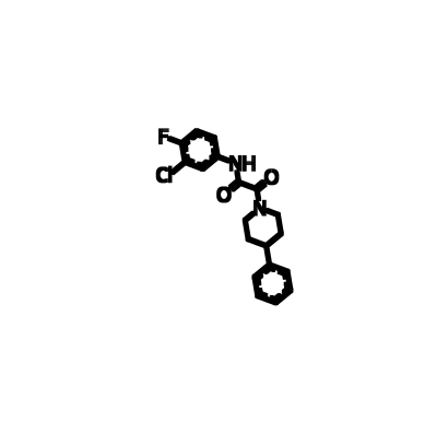 O=C(Nc1ccc(F)c(Cl)c1)C(=O)N1CCC(c2ccccc2)CC1